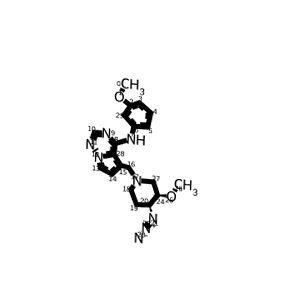 COc1cccc(Nc2ncnn3ccc(CN4CC[C@@H](N=[N+]=[N-])[C@H](OC)C4)c23)c1